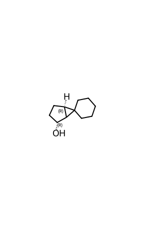 O[C@@H]1CC[C@@H]2C1C21CCCCC1